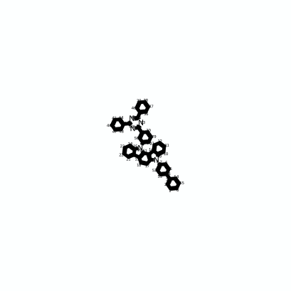 c1ccc(-c2ccc(-n3c4ccccc4c4c3ccc3c5ccccc5n(-c5cccc(-c6nc(-c7ccccc7)nc(-c7ccccc7)n6)c5)c34)cc2)cc1